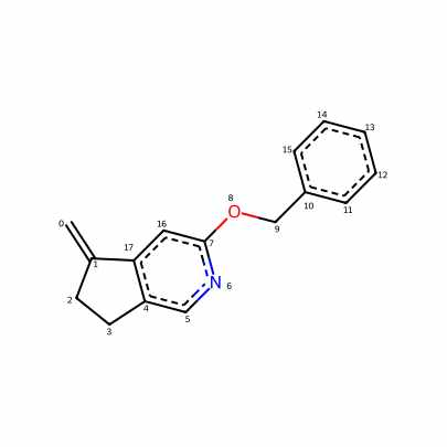 C=C1CCc2cnc(OCc3ccccc3)cc21